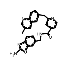 Cc1cnc2ccc(Cc3cc(C(=O)NCc4ccc5nc(N)oc5c4)ccn3)cc2c1